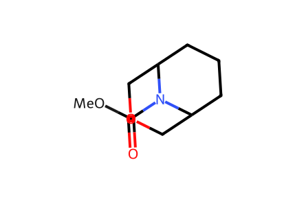 COC(=O)N1C2CCCC1COC2